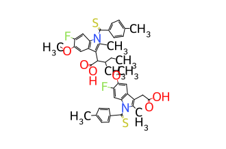 CCC(C)C(C(=O)O)c1c(C)n(C(=S)c2ccc(C)cc2)c2cc(F)c(OC)cc12.COc1cc2c(CC(=O)O)c(C)n(C(=S)c3ccc(C)cc3)c2cc1F